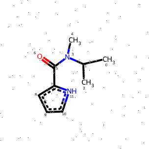 CC(C)N(C)C(=O)c1ccc[nH]1